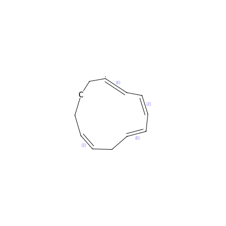 [C]1=C/C=C\C=C\C/C=C\CCC/1